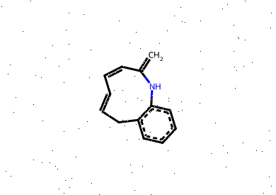 C=C1/C=C\C=C\Cc2ccccc2N1